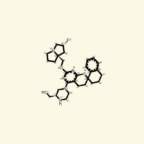 N#CC[C@H]1CN(c2nc(OC[C@@]34CCCN3C[C@H](F)C4)nc3c2CCC2(CCCc4ccccc42)O3)CCN1